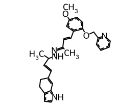 COc1ccc(OCc2ccccn2)c(/C=C/C(C)=N/NC(C)/C=C/C2=Cc3[nH]ccc3CC2)c1